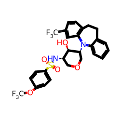 O=S(=O)(N[C@H]1COC[C@@H](N2c3ccccc3CCc3ccc(C(F)(F)F)cc32)[C@@H]1O)c1ccc(OC(F)(F)F)cc1